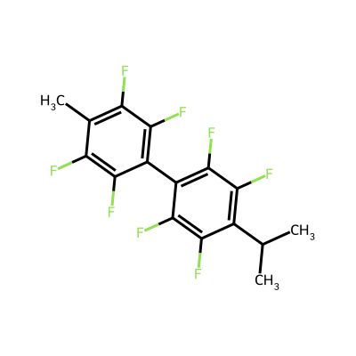 Cc1c(F)c(F)c(-c2c(F)c(F)c(C(C)C)c(F)c2F)c(F)c1F